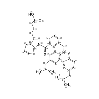 CC(C)Cc1ccc(CN(Cc2cccc(C(=O)n3cc(CCCC(=O)O)c4ccccc43)c2)c2ccc(CC(C)C)cc2)cc1